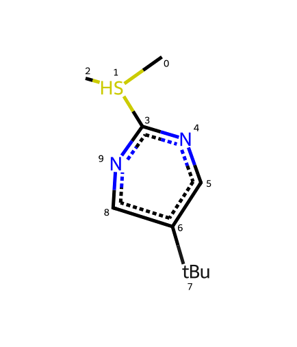 C[SH](C)c1ncc(C(C)(C)C)cn1